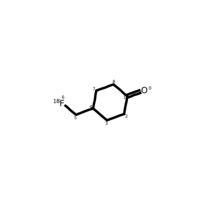 O=C1CCC(C[18F])CC1